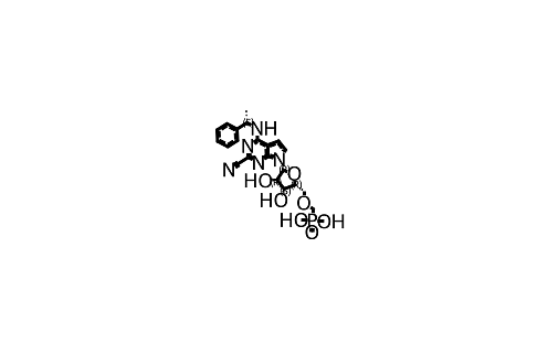 C[C@H](Nc1nc(C#N)nc2c1ccn2[C@@H]1O[C@H](COCP(=O)(O)O)[C@@H](O)[C@H]1O)c1ccccc1